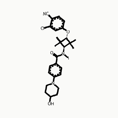 CC1(C)[C@H](Oc2ccc(C#N)c(Cl)c2)C(C)(C)[C@H]1N(I)C(=O)c1ccc(N2CCC(O)CC2)cc1